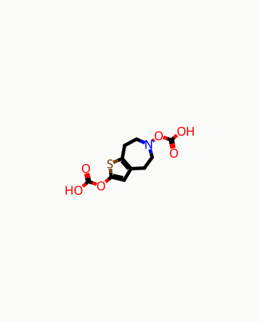 O=C(O)Oc1cc2c(s1)CCN(OC(=O)O)CC2